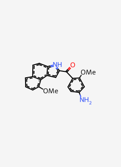 COc1cc(N)ccc1C(=O)c1cc2c(ccc3cccc(OC)c32)[nH]1